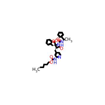 CCCCCCOC(=O)Nc1cc(C[C@H]2C(=O)N(C(=O)N[C@H](C)c3ccccc3)[C@]2(Cc2ccccc2)C(=O)O)ccn1